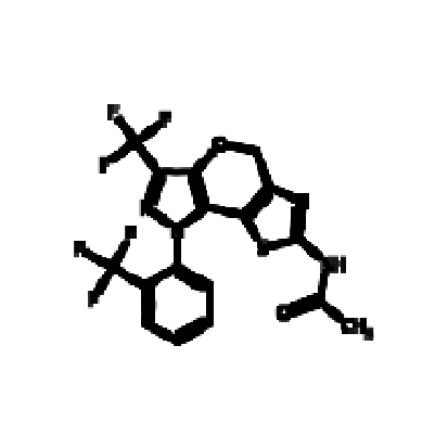 CC(=O)Nc1nc2c(s1)-c1c(c(C(F)(F)F)nn1-c1ccccc1C(F)(F)F)OC2